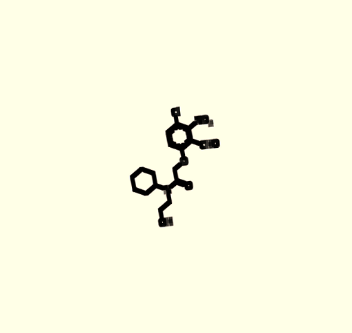 O=Cc1c(OCC(=O)N(CCO)C2CCCCC2)ccc(Cl)c1[N+](=O)[O-]